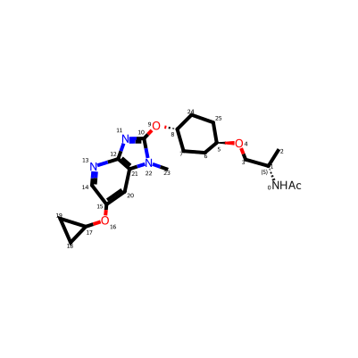 CC(=O)N[C@@H](C)CO[C@H]1CC[C@H](Oc2nc3ncc(OC4CC4)cc3n2C)CC1